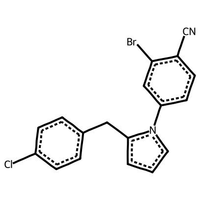 N#Cc1ccc(-n2cccc2Cc2ccc(Cl)cc2)cc1Br